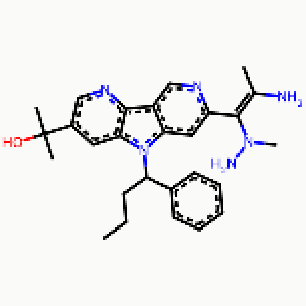 CCCC(c1ccccc1)n1c2cc(/C(=C(\C)N)N(C)N)ncc2c2ncc(C(C)(C)O)cc21